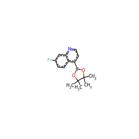 CC1(C)OB(c2ccnc3cc(F)ccc23)OC1(C)C